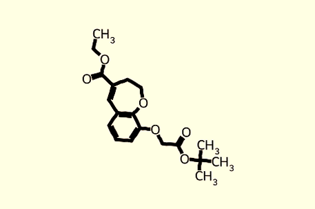 CCOC(=O)C1=Cc2cccc(OCC(=O)OC(C)(C)C)c2OCC1